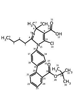 CCCCC1=NC(C)(C)C(C(=O)O)=C(Cl)N1c1ccc(-c2ccccc2C(=O)OC(C)(C)C)cc1